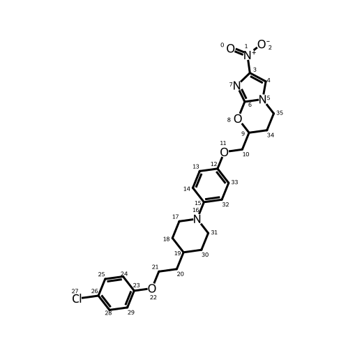 O=[N+]([O-])c1cn2c(n1)OC(COc1ccc(N3CCC(CCOc4ccc(Cl)cc4)CC3)cc1)CC2